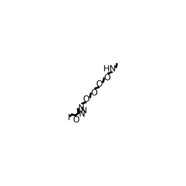 CCNCCOCCOCCOCCOCCn1cc(C(=O)CI)nn1